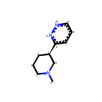 CN1CCC[C@@H](c2cccnn2)C1